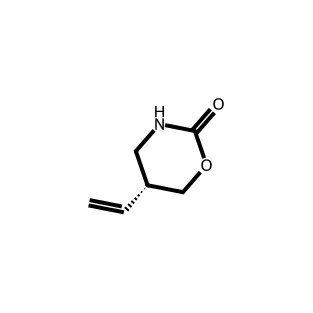 C=C[C@@H]1CNC(=O)OC1